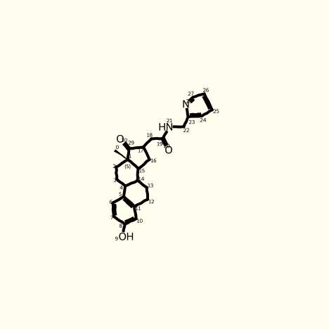 C[C@]12CCC3c4ccc(O)cc4CCC3C1CC(CC(=O)NCc1ccccn1)C2=O